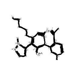 C=C(C)c1ccc(C)cc1-c1c(O)cc(CCCCC)c(-c2ccnn2C)c1O